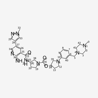 CN1CCN(Cc2cccc(N3CC[C@H](OC(=O)N4CC[C@@H](NC(=O)c5cc(-c6cnn(C)c6)cnc5N)C4)C3)c2)CC1